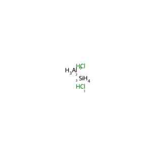 Cl.Cl.[AlH3].[SiH4]